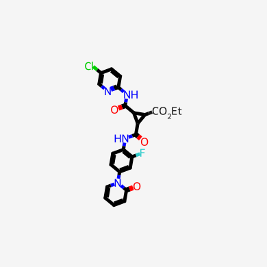 CCOC(=O)C1C(C(=O)Nc2ccc(Cl)cn2)C1C(=O)Nc1ccc(-n2ccccc2=O)cc1F